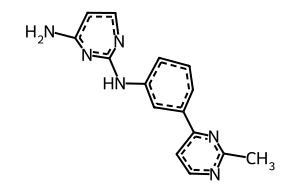 Cc1nccc(-c2cccc(Nc3nccc(N)n3)c2)n1